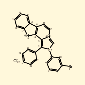 Brc1cccc(-n2c[n+]3ccc4c5ccccc5[nH]c4c3c2-c2ccccc2)c1.[Cl-]